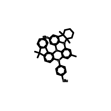 Cc1cc2c3c(c1)N1c4c(cc(C(C)(C)C)cc4C4(C)CCCCC14C)B3c1c(ccc3c1-c1ccccc1C3(C)C)N2c1ccc(C(C)(C)C)cc1